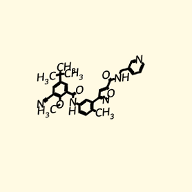 COc1c(C#N)cc(C(C)(C)C)cc1C(=O)Nc1ccc(C)c(-c2cc(C(=O)NCc3cccnc3)on2)c1